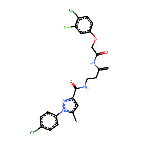 C=C(CCNC(=O)c1cc(C)n(-c2ccc(Cl)cc2)n1)NC(=O)COc1ccc(Cl)c(F)c1